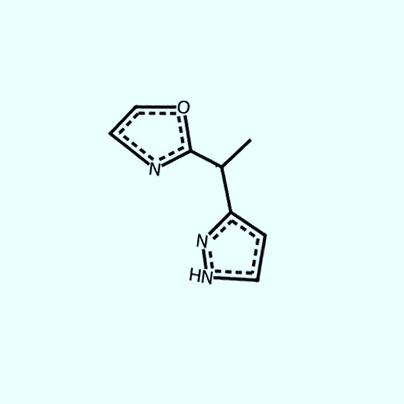 C[C](c1cc[nH]n1)c1ncco1